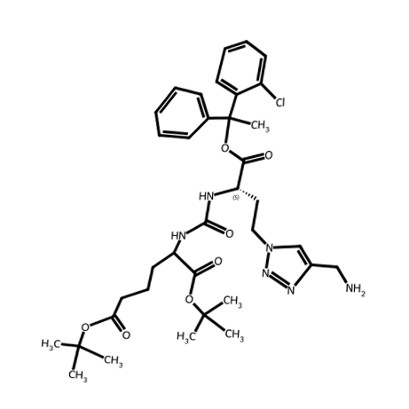 CC(C)(C)OC(=O)CCCC(NC(=O)N[C@@H](CCn1cc(CN)nn1)C(=O)OC(C)(c1ccccc1)c1ccccc1Cl)C(=O)OC(C)(C)C